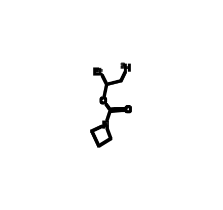 [2H]CC(CC)OC(=O)N1CCC1